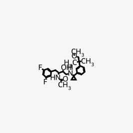 COCC(C)(C)c1cccc(C2(NCC(O)C(Cc3cc(F)cc(F)c3)NC(C)=O)CC2)c1